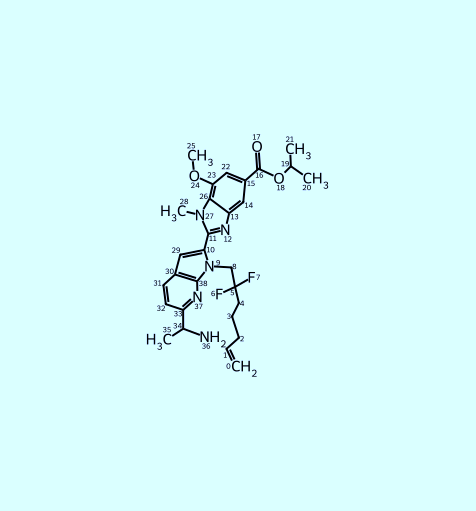 C=CCCCC(F)(F)Cn1c(-c2nc3cc(C(=O)OC(C)C)cc(OC)c3n2C)cc2ccc(C(C)N)nc21